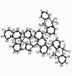 CN1c2ccccc2C(C)(C)c2cccc(-c3cccc4c(-c5cccc6c5-c5ccccc5C65c6ccccc6-c6c5ccc5ccccc65)c5cccc(-c6cccc7c6N(C)c6ccccc6C7(C)C)c5cc34)c21